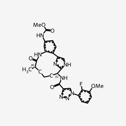 COC(=O)Nc1ccc2c(c1)NC(=O)[C@H](C)CCC[C@H](NC(=O)c1cn(-c3cccc(OC)c3F)nn1)c1nc-2c[nH]1